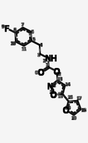 O=C(NCCc1ccc(F)cc1)Oc1cc(-c2ccco2)on1